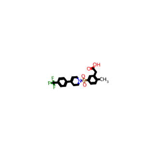 Cc1ccc(S(=O)(=O)N2CC=C(c3ccc(C(F)(F)F)cc3)CC2)cc1CC(=O)O